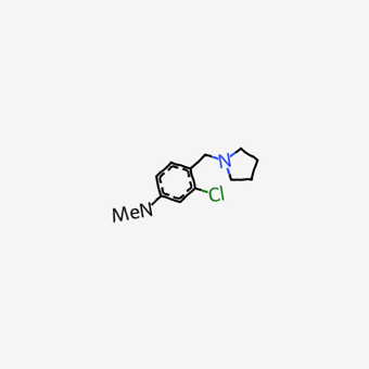 CNc1ccc(CN2CCCC2)c(Cl)c1